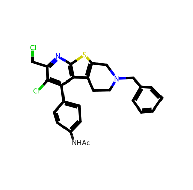 CC(=O)Nc1ccc(-c2c(Cl)c(CCl)nc3sc4c(c23)CCN(Cc2ccccc2)C4)cc1